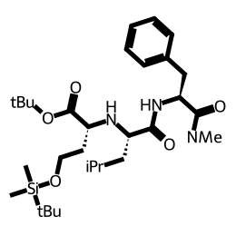 CNC(=O)[C@H](Cc1ccccc1)NC(=O)[C@H](CC(C)C)N[C@H](CCO[Si](C)(C)C(C)(C)C)C(=O)OC(C)(C)C